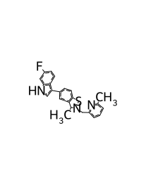 Cc1cccc(CN2Sc3ccc(-c4c[nH]c5cc(F)ccc45)cc3C2C)n1